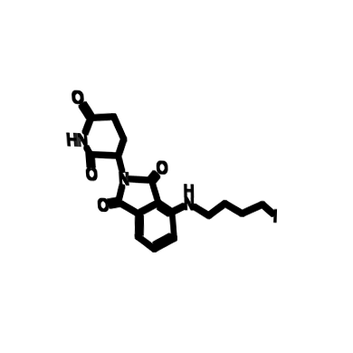 O=C1CCC(N2C(=O)c3cccc(NCCCCI)c3C2=O)C(=O)N1